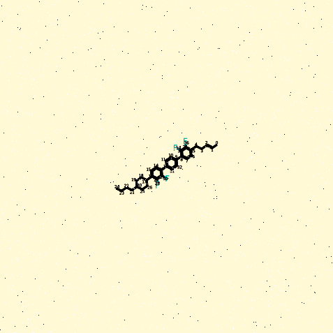 C/C=C/CCc1ccc(-c2ccc(-c3ccc(C4CCC(CCCC)CC4)c(F)c3F)cc2)c(F)c1F